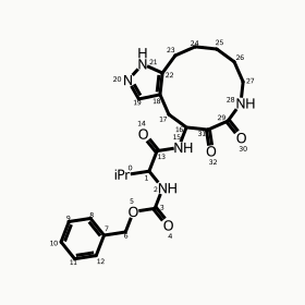 CC(C)C(NC(=O)OCc1ccccc1)C(=O)NC1Cc2cn[nH]c2CCCCCNC(=O)C1=O